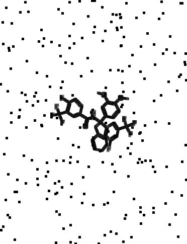 COc1ccc(C(CC2=CCCC=C2)(NC(=O)c2ccc(F)c(C(F)(F)F)c2)c2cc(F)cc(C(F)(F)F)c2)cc1OC